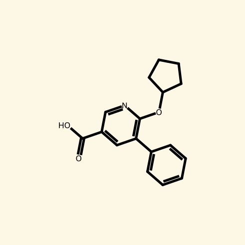 O=C(O)c1cnc(OC2CCCC2)c(-c2ccccc2)c1